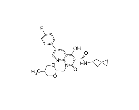 CC1COC(Cn2c(=O)c(C(=O)NC3CC4(CC4)C3)c(O)c3cc(-c4ccc(F)cc4)cnc32)OC1